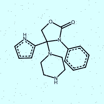 O=C1OCC(c2ccc[nH]2)(N2CCNCC2)N1c1ccccc1